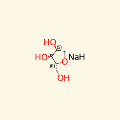 OC[C@H]1OC[C@H](O)[C@@H]1O.[NaH]